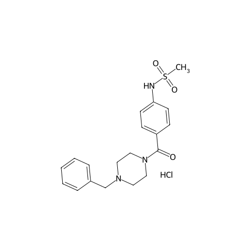 CS(=O)(=O)Nc1ccc(C(=O)N2CCN(Cc3ccccc3)CC2)cc1.Cl